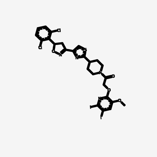 COc1cc(I)c(I)nc1OCC(=O)N1CCC(c2nc(C3=NOC(c4c(Cl)cccc4Cl)C3)cs2)CC1